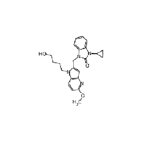 COc1ccc2c(cc(Cn3c(=O)n(C4CC4)c4ccccc43)n2CCCCO)n1